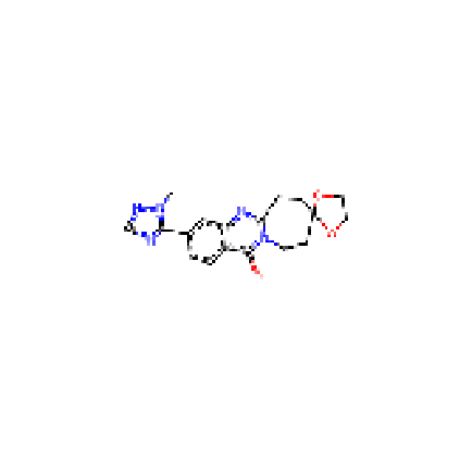 Cn1ncnc1-c1ccc2c(=O)n3c(nc2c1)CCC1(CC3)OCCO1